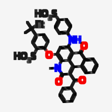 CCC(C)(C)c1ccc(Oc2cc(Nc3ccc(S(=O)(=O)O)cc3)c3c4c(c(C(=O)c5ccccc5)c(=O)n(C)c24)-c2ccccc2C3=O)c(S(=O)(=O)O)c1